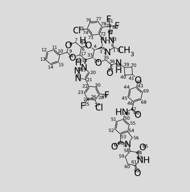 Cc1nc([C@@H]2O[C@@H]3COC(c4ccccc4)O[C@@H]3[C@H](n3cc(-c4cc(F)c(Cl)c(F)c4)nn3)[C@H]2OCC(=O)NC2CC(Oc3ccc(C(=O)Nc4ccc5c(c4)CN(C4CCC(=O)NC4=O)C5=O)cc3)C2)n(-c2cc(Cl)ccc2C(F)(F)F)n1